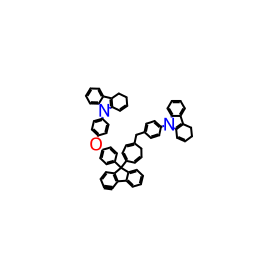 c1ccc2c(c#1)-c1ccccc1C2(C1=CC=C(Cc2ccc(-n3c4c(c5ccccc53)CCC=C4)cc2)CC=C1)c1ccc(Oc2ccc(-n3c4c(c5ccccc53)CCC=C4)cc2)cc1